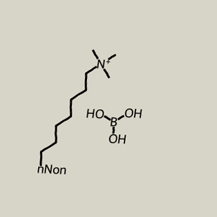 CCCCCCCCCCCCCCCC[N+](C)(C)C.OB(O)O